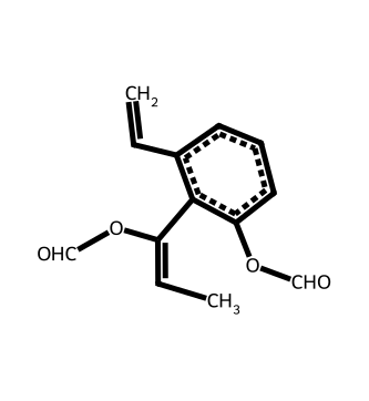 C=Cc1cccc(OC=O)c1/C(=C\C)OC=O